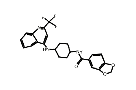 O=C(NC1CCC(Nc2cc(C(F)(F)F)nc3ccccc23)CC1)c1ccc2c(c1)OCO2